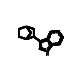 [c]1[nH]c2ccccc2c1C1CC2CCC1C2